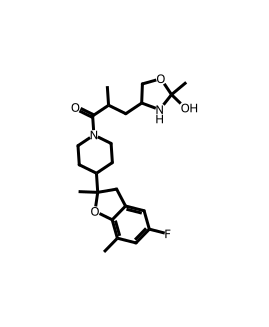 Cc1cc(F)cc2c1OC(C)(C1CCN(C(=O)C(C)CC3COC(C)(O)N3)CC1)C2